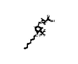 CCCCCCCOc1ccc(CN2CC(C(=O)O)C2)cc1C(F)(F)F